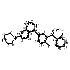 COC(c1cc(-c2ncnc3cc(N4CCOCC4)ccc23)ccc1F)c1nccnc1C